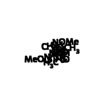 COc1cccc(-c2nnc(NS(=O)(=O)C(C)C(OC)c3ncc(Cl)cn3)n2C(C)c2ccon2)n1